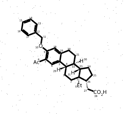 CC[C@]12CC[C@@H]3c4cc(C(C)=O)c(OCc5ccccc5)cc4CC[C@H]3[C@@H]1CC[C@@H]2CC(=O)O